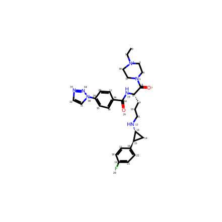 CCN1CCN(C(=O)[C@H](CCCN[C@@H]2C[C@H]2c2ccc(F)cc2)NC(=O)c2ccc(-n3ccnn3)cc2)CC1